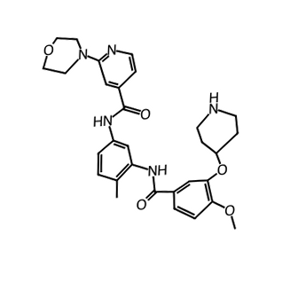 COc1ccc(C(=O)Nc2cc(NC(=O)c3ccnc(N4CCOCC4)c3)ccc2C)cc1OC1CCNCC1